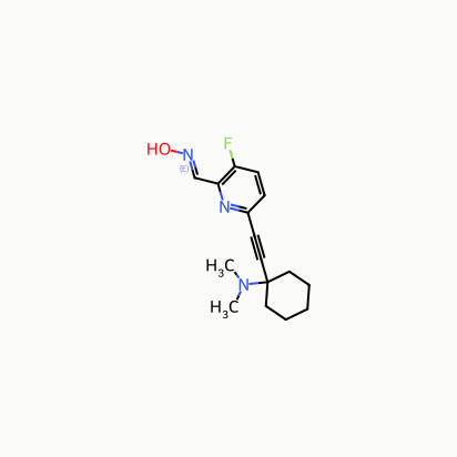 CN(C)C1(C#Cc2ccc(F)c(/C=N/O)n2)CCCCC1